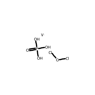 ClOCl.O=P(O)(O)O.[V]